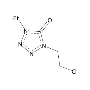 CCn1nnn(CCCl)c1=O